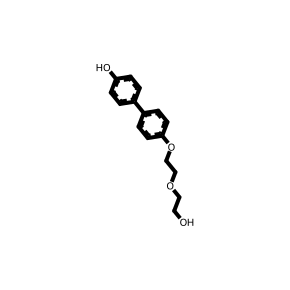 OCCOCCOc1ccc(-c2ccc(O)cc2)cc1